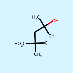 CC(C)(O)CC(C)(C)C(=O)O